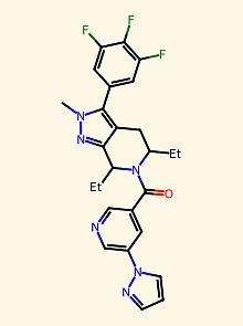 CCC1Cc2c(nn(C)c2-c2cc(F)c(F)c(F)c2)C(CC)N1C(=O)c1cncc(-n2cccn2)c1